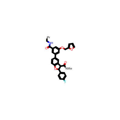 CNC(=O)C1c2cc(-c3cc(OCc4ccco4)cc(C(=O)NCC(C)C)c3)ccc2OC1c1ccc(F)cc1